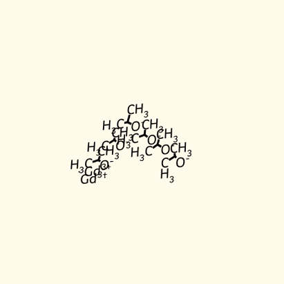 CC(C)[O-].CC(C)[O-].CC(C)[O-].CC(C)[O-].CC(C)[O-].CC(C)[O-].[Gd+3].[Gd+3]